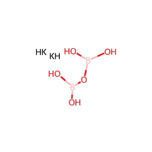 OB(O)OB(O)O.[KH].[KH]